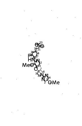 COc1cnc(N2CCC(Oc3ccnc(Nc4ccc(CCS(C)(=O)=O)cc4F)c3OC)CC2)nc1